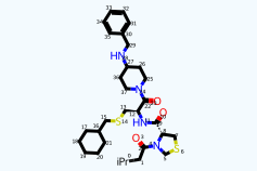 CC(C)CC(=O)N1CSC[C@H]1C(=O)N[C@@H](CSCC1CCCCC1)C(=O)N1CCC(NCc2ccccc2)CC1